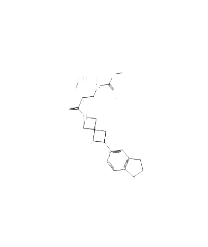 CC[C@H](CNC(=O)OC)C(=O)N1CC2(CC(c3ccc4c(c3)CCC4)C2)C1